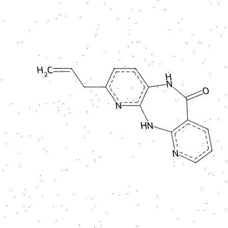 C=CCc1ccc2c(n1)Nc1ncccc1C(=O)N2